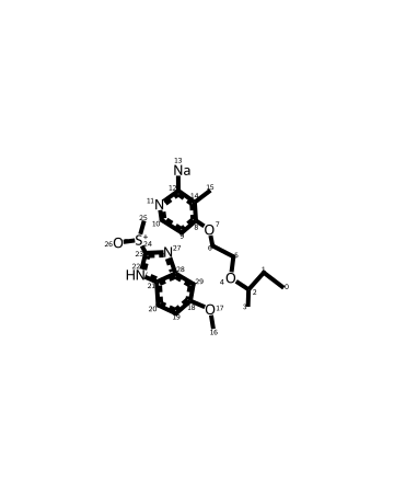 CCC(C)OCCOc1ccn[c]([Na])c1C.COc1ccc2[nH]c([S+](C)[O-])nc2c1